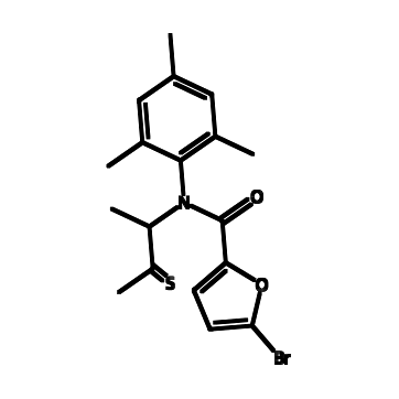 CC(=S)C(C)N(C(=O)c1ccc(Br)o1)c1c(C)cc(C)cc1C